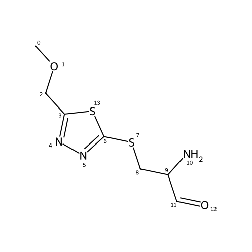 COCc1nnc(SCC(N)C=O)s1